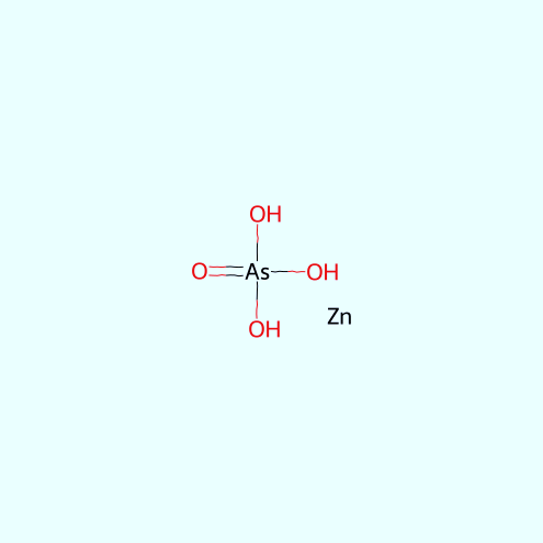 O=[As](O)(O)O.[Zn]